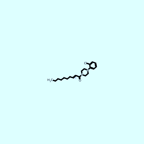 CCCCCCC/C=C/C(=O)N1CCN(c2ccccc2Cl)CC1